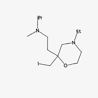 CCN1CCOC(CI)(CCN(C)C(C)C)C1